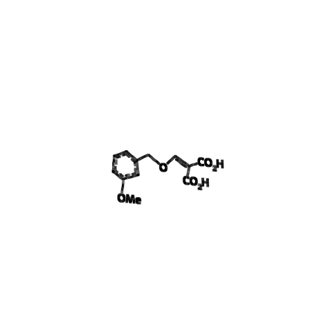 COc1cccc(COC=C(C(=O)O)C(=O)O)c1